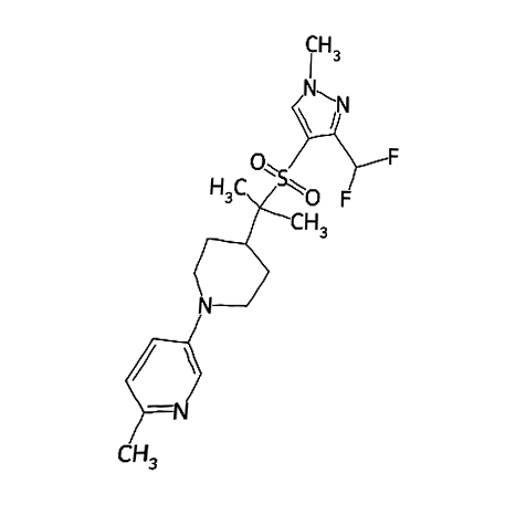 Cc1ccc(N2CCC(C(C)(C)S(=O)(=O)c3cn(C)nc3C(F)F)CC2)cn1